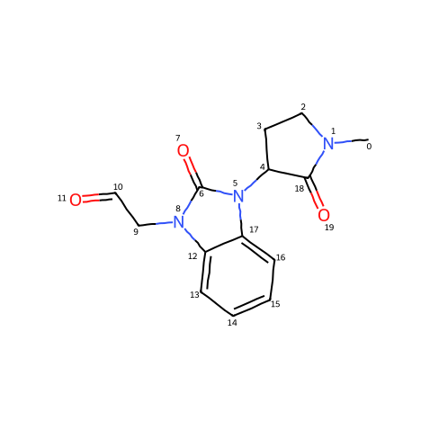 CN1CCC(n2c(=O)n(CC=O)c3ccccc32)C1=O